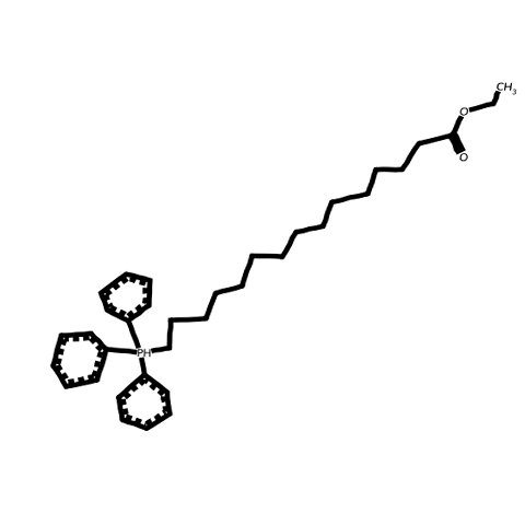 CCOC(=O)CCCCCCCCCCCCCC[PH](c1ccccc1)(c1ccccc1)c1ccccc1